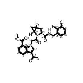 COC(=O)c1cccc2c(C(C)=O)cn(CC(=O)N3[C@@H]4C[C@@H]4C[C@H]3C(=O)NCc3cccc(Cl)c3F)c12